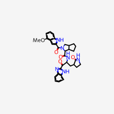 COc1cccc2[nH]c(C(=O)N3CC4CCCC4C3C(=O)NC(CC3CCNC3=O)C(=O)c3nc4ccccc4[nH]3)cc12